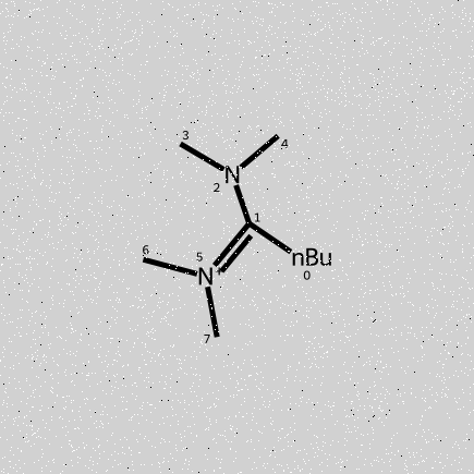 CCCCC(N(C)C)=[N+](C)C